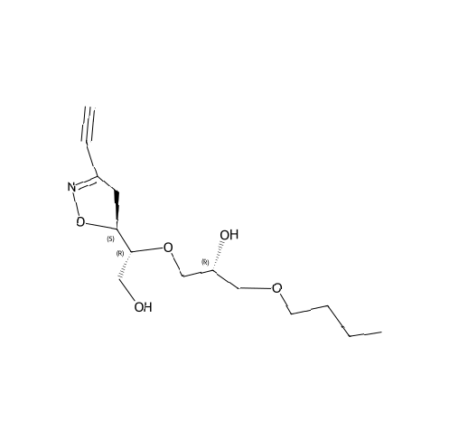 C#CC1=NO[C@H]([C@@H](CO)OC[C@H](O)COCCCC)C1